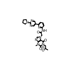 CC(O)Cn1c(=O)c2c(ncn2CC(=O)Nc2cccc(-c3cnc(N4CCCC4)nc3)n2)n(C)c1=O